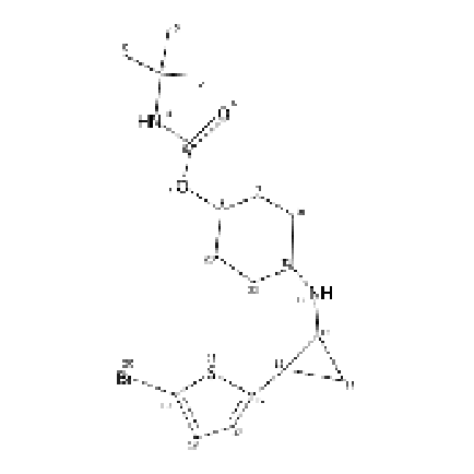 CC(C)(C)NC(=O)OC1CCC(NC2CC2c2ccc(Br)s2)CC1